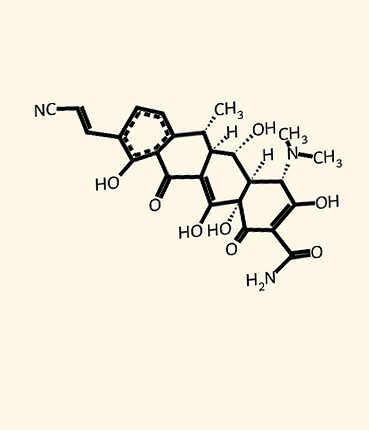 C[C@H]1c2ccc(/C=C/C#N)c(O)c2C(=O)C2=C(O)[C@]3(O)C(=O)C(C(N)=O)=C(O)[C@@H](N(C)C)[C@@H]3[C@@H](O)[C@@H]21